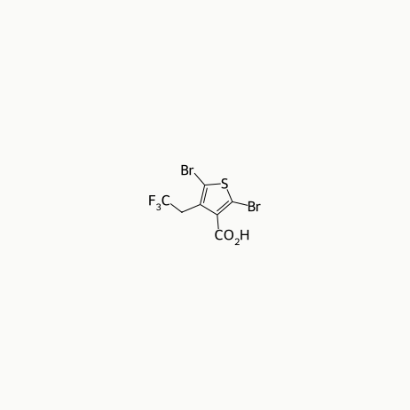 O=C(O)c1c(Br)sc(Br)c1CC(F)(F)F